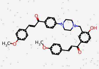 COc1ccc(/C=C/C(=O)c2ccc(N3CCN(Cc4cc(C(=O)/C=C/c5ccc(OC)cc5)ccc4O)CC3)cc2)cc1